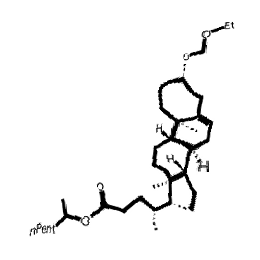 CCCCCC(C)OC(=O)CC[C@@H](C)[C@H]1CC[C@H]2[C@@H]3CC=C4C[C@@H](OCOCC)CC[C@]4(C)[C@H]3CC[C@]12C